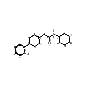 O=C(CN1CCC(c2ccccn2)CC1)NC1CCCCC1